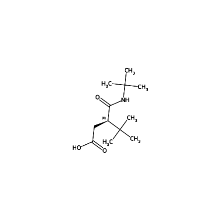 CC(C)(C)NC(=O)[C@H](CC(=O)O)C(C)(C)C